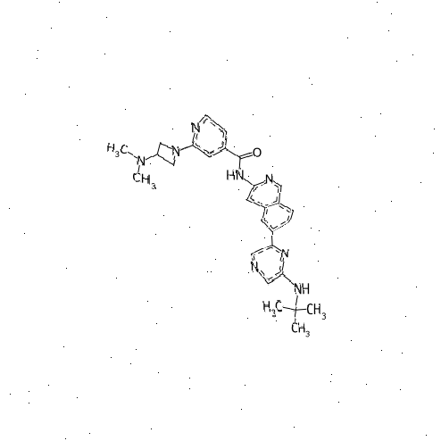 CN(C)C1CN(c2cc(C(=O)Nc3cc4cc(-c5cncc(NC(C)(C)C)n5)ccc4cn3)ccn2)C1